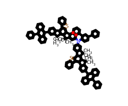 CC1(C)c2cc(N(c3ccc4c(c3)C(C)(C)c3c5c(c6c(sc7ccccc76)c3-4)-c3ccc(-c4c6ccccc6c(-c6ccccc6)c6ccccc46)cc3C5(C)C)c3ccc(-c4ccccc4)cc3-c3ccccc3)ccc2-c2c1c1c(c3c2sc2ccccc23)-c2ccc(-c3c4ccccc4c(-c4ccccc4)c4ccccc34)cc2C1(C)C